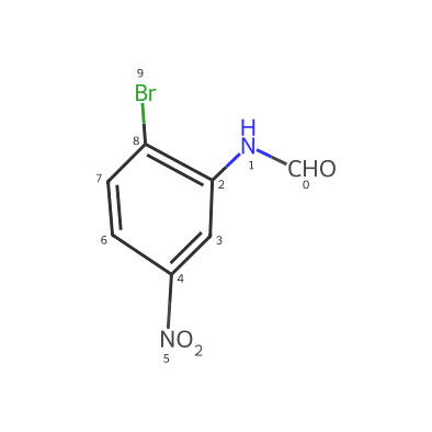 O=CNc1cc([N+](=O)[O-])ccc1Br